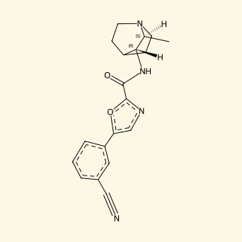 C[C@H]1[C@H](NC(=O)c2ncc(-c3cccc(C#N)c3)o2)C2CCN1CC2